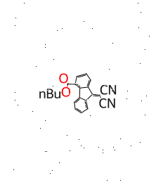 CCCCOC(=O)c1cccc2c1-c1ccccc1C2=C(C#N)C#N